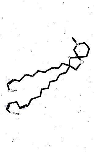 CCCCC/C=C\C/C=C\CCCCCCCCC1(CCCCCCCC/C=C\CCCCCCCC)COC2(CCCN(C)C2)O1